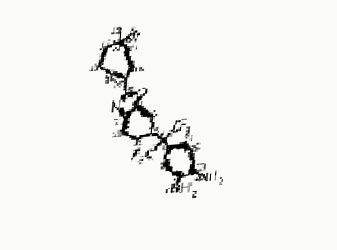 Bc1cc(C(C2C=c3oc(C4=CC=CC(C)(Br)C=C4)nc3=CC2)(C(F)(F)F)C(F)(F)F)ccc1N